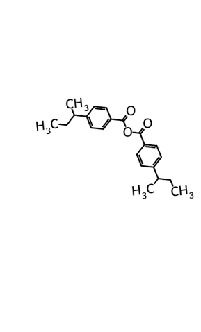 CCC(C)c1ccc(C(=O)OC(=O)c2ccc(C(C)CC)cc2)cc1